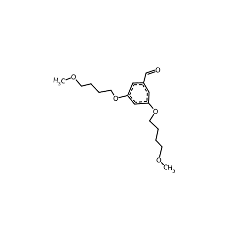 COCCCCOc1cc(C=O)cc(OCCCCOC)c1